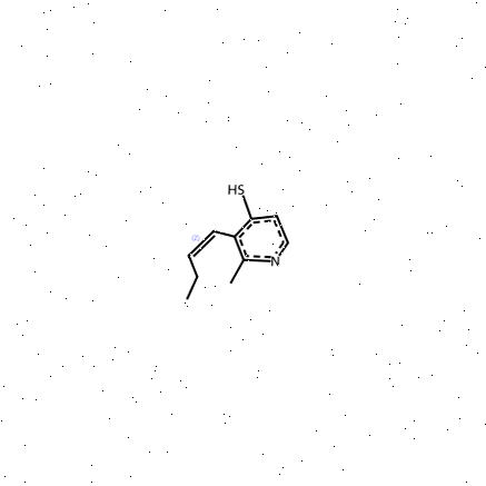 CC/C=C\c1c(S)ccnc1C